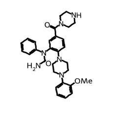 COc1ccccc1N1CCN(c2ccc(C(=O)N3CCNCC3)cc2N(C(N)=O)c2ccccc2)CC1